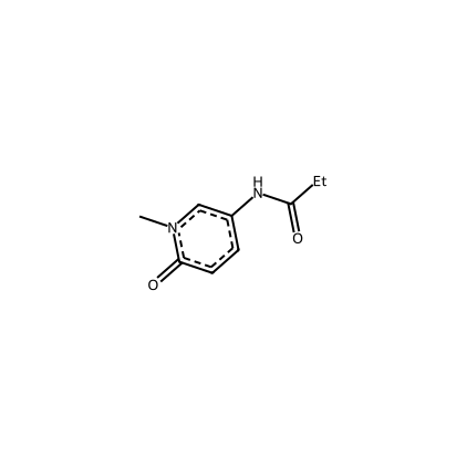 CCC(=O)Nc1ccc(=O)n(C)c1